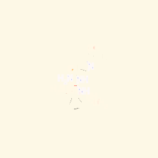 BC1(B)CCc2cc3c(c(NC(=O)N[SH](N)(=O)c4cnc(C(C)(C)O)s4)c21)C(B)(B)CC3